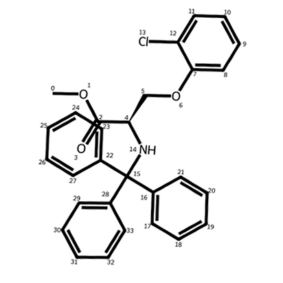 COC(=O)[C@@H](COc1ccccc1Cl)NC(c1ccccc1)(c1ccccc1)c1ccccc1